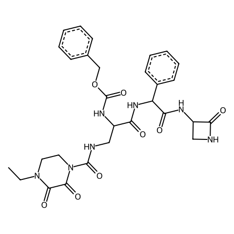 CCN1CCN(C(=O)NCC(NC(=O)OCc2ccccc2)C(=O)NC(C(=O)NC2CNC2=O)c2ccccc2)C(=O)C1=O